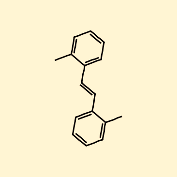 Cc1ccccc1/C=C/c1ccccc1C